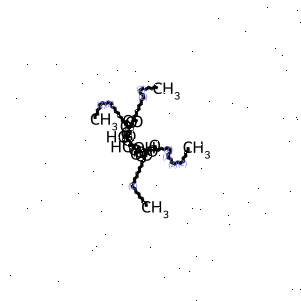 CCCCC/C=C\C/C=C\C/C=C\C/C=C\CCCC(=O)OC[C@H](COP(=O)(O)OCC(O)COP(=O)(O)OC[C@@H](COC(=O)CCCCCCC/C=C\C/C=C\CCCCC)OC(=O)CCCCCCC/C=C\C/C=C\CCCCC)OC(=O)CCCCCCCCC/C=C\CCCCCCCC